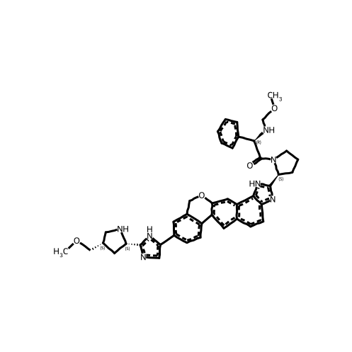 COCN[C@@H](C(=O)N1CCC[C@H]1c1nc2ccc3cc4c(cc3c2[nH]1)OCc1cc(-c2cnc([C@@H]3C[C@H](COC)CN3)[nH]2)ccc1-4)c1ccccc1